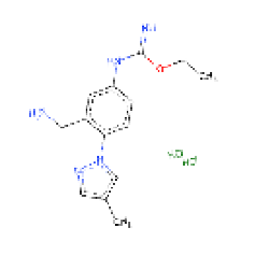 CCOC(=N)Nc1ccc(-n2cc(C)cn2)c(CN)c1.Cl.Cl